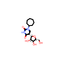 O=c1[nH]c(=O)n(C2CCCCCC2)cc1[C@@H]1O[C@H](CO)[C@@H](O)[C@H]1O